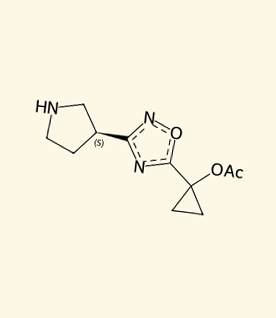 CC(=O)OC1(c2nc([C@H]3CCNC3)no2)CC1